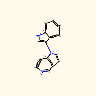 c1ccc2c(-n3ccc4cnccc43)c[nH]c2c1